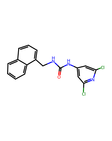 O=C(NCc1cccc2ccccc12)Nc1cc(Cl)nc(Cl)c1